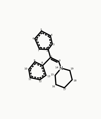 C(=C(c1ccccc1)c1ccccc1)N1CCCCC1